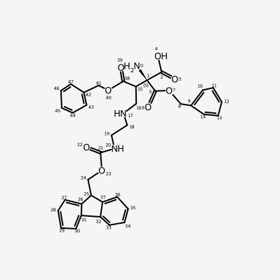 N[C@@](C(=O)O)(C(=O)OCc1ccccc1)C(CNCCNC(=O)OCC1c2ccccc2-c2ccccc21)C(=O)OCc1ccccc1